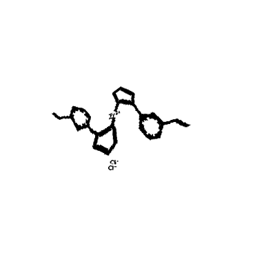 CCc1cccc(C2=[C]([Zr+2][C]3=C(c4cccc(CC)c4)C=CC3)CC=C2)c1.[Cl-].[Cl-]